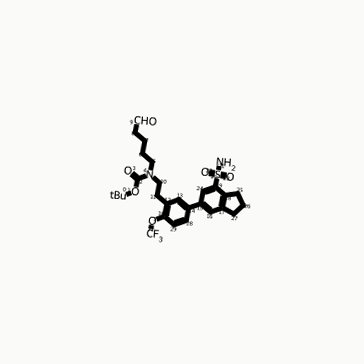 CC(C)(C)OC(=O)N(CCCCC=O)CCc1cc(-c2cc3c(c(S(N)(=O)=O)c2)CCC3)ccc1OC(F)(F)F